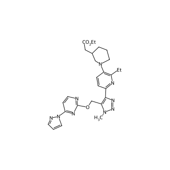 CCOC(=O)CC1CCCN(c2ccc(-c3nnn(C)c3COc3nccc(-n4cccn4)n3)nc2CC)C1